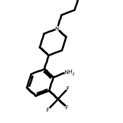 COCCN1CCC(c2cccc(C(F)(F)F)c2N)CC1